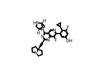 Oc1cc(F)c(C2CC2)c(-c2ncc3c(N4C[C@@H]5C[C@H]4CN5)nc(C#CC45CCCN4CCC5)nc3c2F)c1